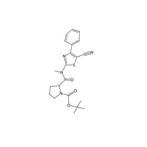 CN(C(=O)C1CCCN1C(=O)OC(C)(C)C)c1nc(-c2ccccc2)c(C#N)s1